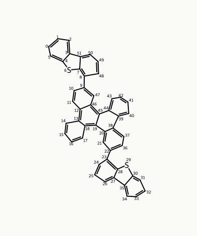 c1ccc2c(c1)sc1c(-c3ccc4c5ccccc5c5c6cc(-c7cccc8c7sc7ccccc78)ccc6c6ccccc6c5c4c3)cccc12